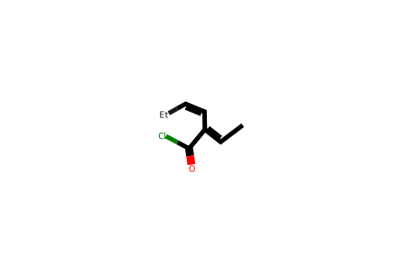 C/C=C(\C=C/CC)C(=O)Cl